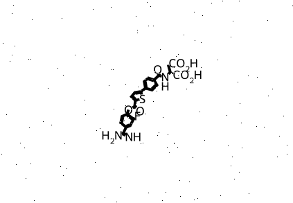 N=C(N)c1ccc(OC(=O)c2ccc(-c3ccc(C(=O)N[C@@H](CC(=O)O)C(=O)O)cc3)s2)c(F)c1